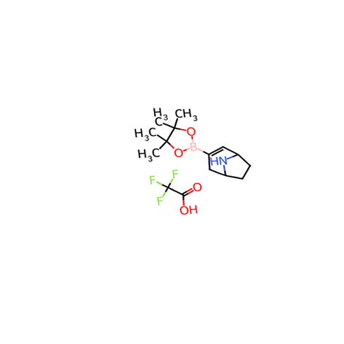 CC1(C)OB(C2=CC3CCC(C2)N3)OC1(C)C.O=C(O)C(F)(F)F